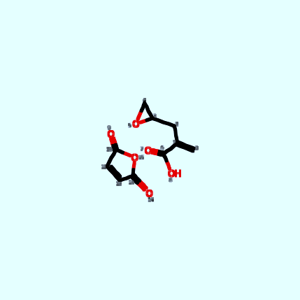 C=C(CC1CO1)C(=O)O.O=C1C=CC(=O)O1